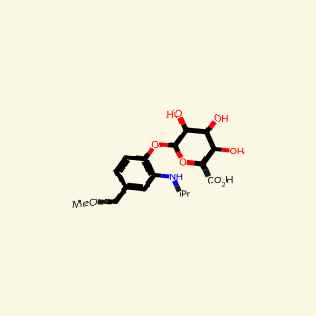 COCc1ccc(OC2OC(C(=O)O)C(O)C(O)C2O)c(NC(C)C)c1